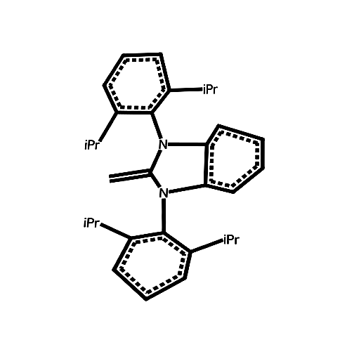 C=C1N(c2c(C(C)C)cccc2C(C)C)c2ccccc2N1c1c(C(C)C)cccc1C(C)C